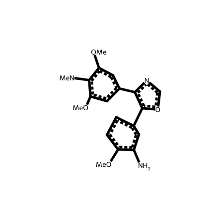 CNc1c(OC)cc(-c2ncoc2-c2ccc(OC)c(N)c2)cc1OC